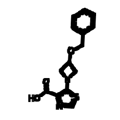 O=C(O)c1ncsc1N1CC(OCc2ccccc2)C1